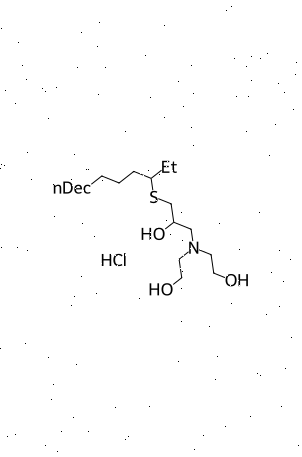 CCCCCCCCCCCCCC(CC)SCC(O)CN(CCO)CCO.Cl